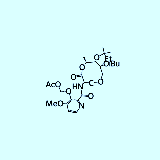 CCC(C)(C)O[C@H]1[C@H](C)OC(=O)[C@@H](NC(=O)c2nccc(OC)c2OCOC(C)=O)COC[C@@H]1OCC(C)C